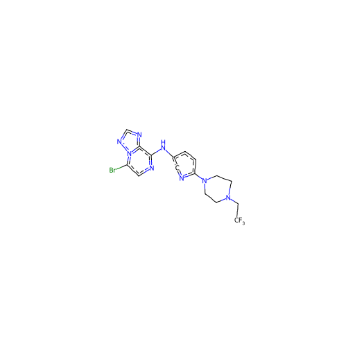 FC(F)(F)CN1CCN(c2ccc(Nc3ncc(Br)n4ncnc34)cn2)CC1